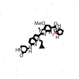 COc1cc(C(=O)N2C[C@H]3CC[C@@H]2[C@@H]3N)cc2nc(-c3cc4ccc(NC5CCNC(=O)C5)nc4n3CC3CC3)n(C)c12